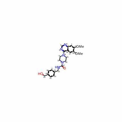 COc1cc2ncnc(N3CCN(C(=O)NCc4ccc(CO)cc4)CC3)c2cc1OC